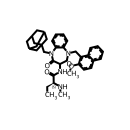 CC[C@H](NC)C(=O)NC1C(=O)N(Cc2c(OC)ccc3ccccc23)c2ccccc2N(CC23CC4CC(CC(C4)C2)C3)C1=O